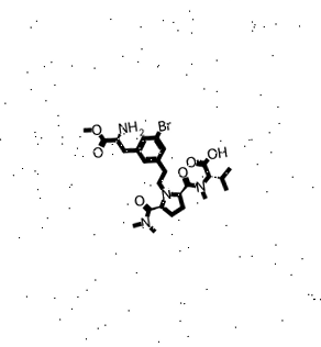 COC(=O)[C@@H](N)Cc1cc(Br)cc(CCN2[C@@H](C(=O)N(C)[C@H](C(=O)O)C(C)C)CC[C@H]2C(=O)N(C)C)c1